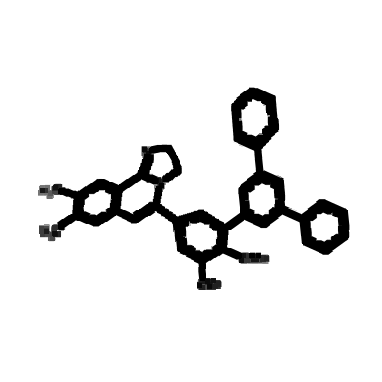 COc1cc(C2=Cc3cc(C)c(C)cc3C3=NCCN23)cc(-c2cc(-c3ccccc3)cc(-c3ccccc3)c2)c1OC